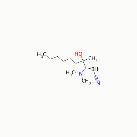 CCCCCCC(C)(O)C(BC#N)N(C)C